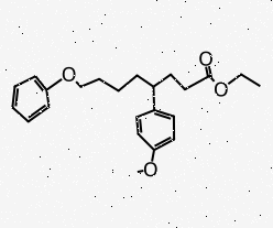 CCOC(=O)CCC(CCCCOc1ccccc1)c1ccc(OC)cc1